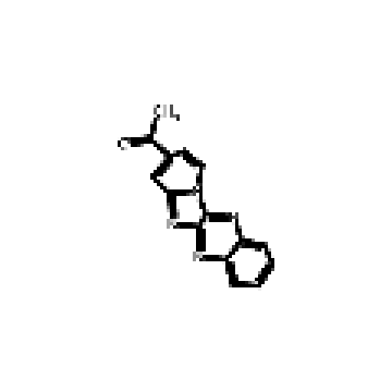 CC(=O)c1ccn2c(c1)nc1nc3ccccc3nc12